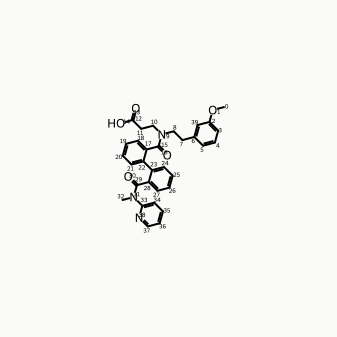 COc1cccc(CCN(CCC(=O)O)C(=O)c2ccccc2-c2ccccc2C(=O)N(C)c2ccccn2)c1